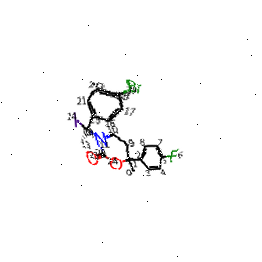 CC1(c2ccc(F)cc2)CCN([C@@](C)(I)c2ccc(Br)cc2)C(=O)O1